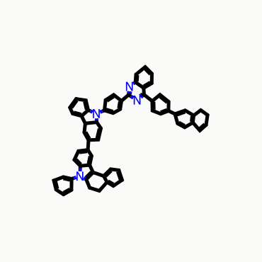 C1=Cc2ccc(-c3ccc(-c4nc(-c5ccc(N6c7ccccc7C7C=C(c8ccc9c(c8)c8c(n9-c9ccccc9)CCc9ccccc9-8)C=CC76)cc5)nc5ccccc45)cc3)cc2CC1